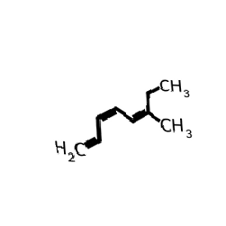 C=C/C=C\C=C(\C)CC